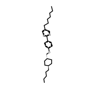 CCCCCCCc1cnc(-c2ccc(OC[C@H]3CC[C@H](CCCCC)CC3)cc2)nc1